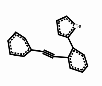 C(#Cc1ccccc1-c1ccc[te]1)c1ccccc1